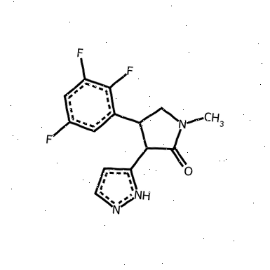 CN1CC(c2cc(F)cc(F)c2F)C(c2ccn[nH]2)C1=O